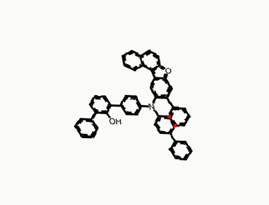 Oc1c(-c2ccccc2)cccc1-c1ccc(N(c2ccc(-c3ccccc3)cc2)c2cc3c(cc2-c2ccccc2)oc2ccc4ccccc4c23)cc1